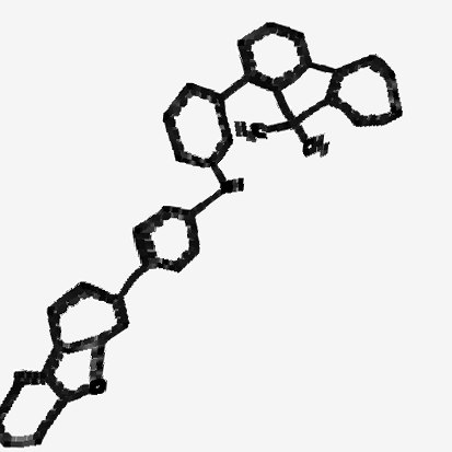 CC1(C)c2ccccc2-c2cccc(-c3cccc(Nc4ccc(-c5ccc6c(c5)oc5ccccc56)cc4)c3)c21